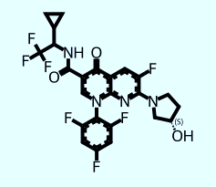 O=C(NC(C1CC1)C(F)(F)F)c1cn(-c2c(F)cc(F)cc2F)c2nc(N3CC[C@H](O)C3)c(F)cc2c1=O